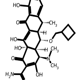 C[C@H]1c2cccc(O)c2C(=O)C2=C(O)[C@]3(O)C(=O)C(C(N)=O)=C(O)[C@H](N(C)C)[C@@H]3[C@@H](OCC3CCC3)[C@@H]21